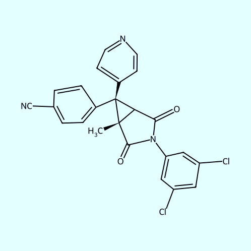 C[C@]12C(=O)N(c3cc(Cl)cc(Cl)c3)C(=O)C1[C@@]2(c1ccncc1)c1ccc(C#N)cc1